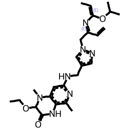 C=C/C(Cn1cc(CNc2cc3c(c(C)n2)NC(=O)C(OCC)N3C)cn1)=N\C(=C/C)OC(C)C